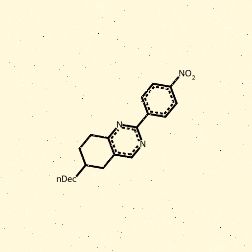 CCCCCCCCCCC1CCc2nc(-c3ccc([N+](=O)[O-])cc3)ncc2C1